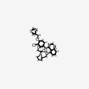 O=C(CO)N1CCCC1COc1cccc2ncnc(Nc3ccc(OCc4cscn4)c(Cl)c3)c12